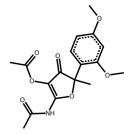 COc1ccc(C2(C)OC(NC(C)=O)=C(OC(C)=O)C2=O)c(OC)c1